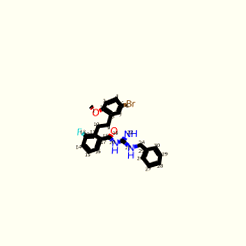 COc1ccc(Br)cc1CCc1c(F)cccc1C(=O)NC(=N)NCc1ccccc1